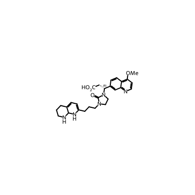 COc1ccnc2cc([C@@H](CC(=O)O)N3CCN(CCCC4=CC=C5CCCNC5N4)C3=O)ccc12